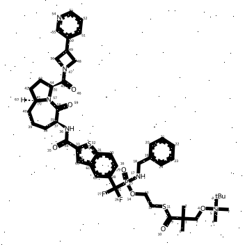 CC(C)(CO[Si](C)(C)C(C)(C)C)C(=O)SCCOP(=O)(NCc1ccccc1)C(F)(F)c1ccc2sc(C(=O)N[C@H]3CCC[C@H]4CC[C@@H](C(=O)N5CC(c6cccnc6)C5)N4C3=O)cc2c1